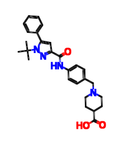 CC(C)(C)n1nc(C(=O)Nc2ccc(CN3CCC(C(=O)O)CC3)cc2)cc1-c1ccccc1